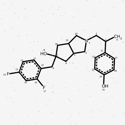 CC(CN1CC2CC(O)(Cc3ccc(F)cc3F)CC2C1)c1ccc(O)cc1